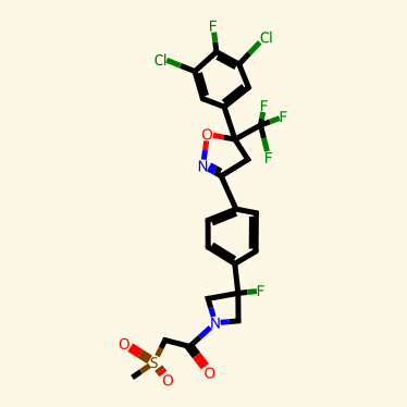 CS(=O)(=O)CC(=O)N1CC(F)(c2ccc(C3=NOC(c4cc(Cl)c(F)c(Cl)c4)(C(F)(F)F)C3)cc2)C1